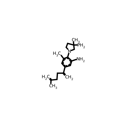 C=C(C)CCC(=C)c1cc(C)c(N2CCC(C)(P)C2)c(N)c1